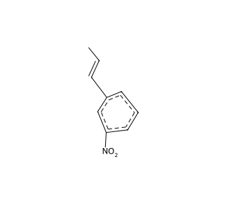 CC=Cc1cccc([N+](=O)[O-])c1